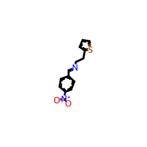 O=[N+]([O-])c1ccc(/C=N/CCc2cccs2)cc1